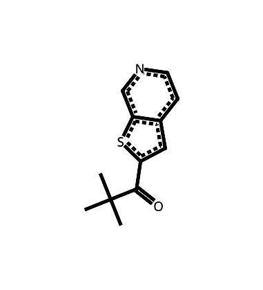 CC(C)(C)C(=O)c1cc2ccncc2s1